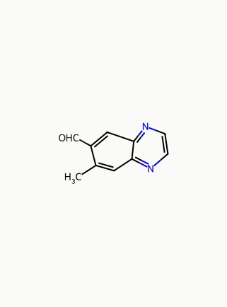 Cc1cc2nccnc2cc1C=O